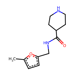 Cc1ccc(CNC(=O)C2CCNCC2)o1